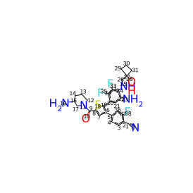 N#Cc1ccc(-c2cc(C(=O)N3CCCC(N)C3)sc2-c2cc(N)c(NCC3(O)CCC3)c(F)c2F)cc1F